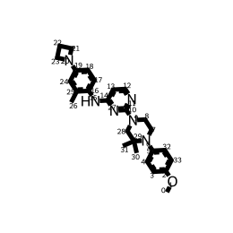 COc1ccc(N2CCN(c3nccc(Nc4ccc(N5CCC5)cc4C)n3)CC2(C)C)cc1